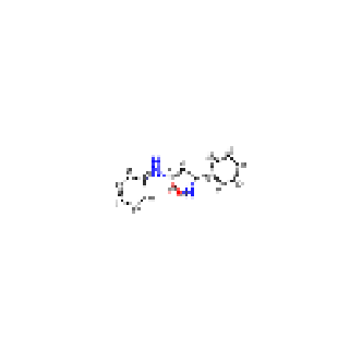 C1=CCC(Nc2cc(-c3ccccc3)no2)CC1